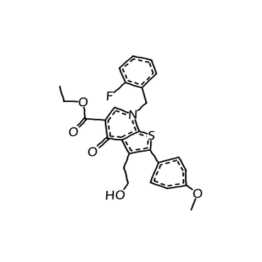 CCOC(=O)c1cn(Cc2ccccc2F)c2sc(-c3ccc(OC)cc3)c(CCO)c2c1=O